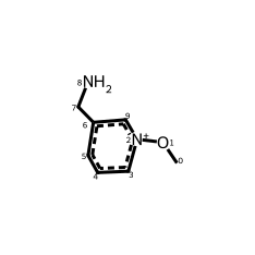 CO[n+]1cccc(CN)c1